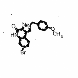 COc1ccc(Cn2cc3c(n2)c(=O)[nH]c2cc(Br)ccc23)cc1